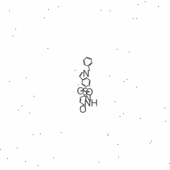 O=c1ccc(S(=O)(=O)c2ccc3c(ccn3Cc3ccccc3)c2)n[nH]1